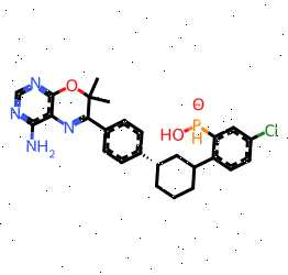 CC1(C)Oc2ncnc(N)c2N=C1c1ccc([C@H]2CCCC(c3ccc(Cl)cc3[PH](=O)O)C2)cc1